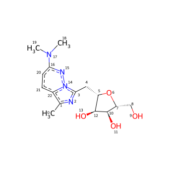 Cc1nc(C[C@@H]2O[C@H](CO)[C@@H](O)[C@H]2O)n2nc(N(C)C)ccc12